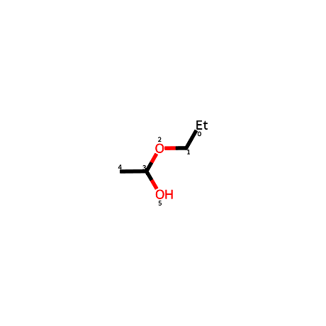 CCCO[C](C)O